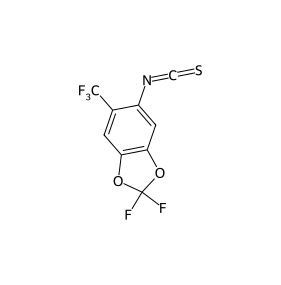 FC1(F)Oc2cc(N=C=S)c(C(F)(F)F)cc2O1